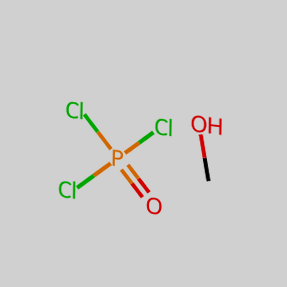 CO.O=P(Cl)(Cl)Cl